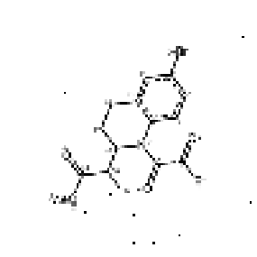 CCC(=O)C(=O)N1c2ccc(Br)cc2CCC1C(C)C(=O)OC